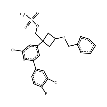 CS(=O)(=O)OCC1(c2cc(Cl)nc(-c3ccc(F)c(Cl)c3)c2)CC(OCc2ccccc2)C1